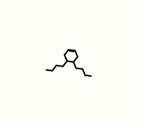 CCCCC1CC=CCC1CCCC